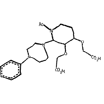 CC(=O)N1CCC(OCC(=O)O)C(OCC(=O)O)C1N1CCN(c2ccncc2)CC1